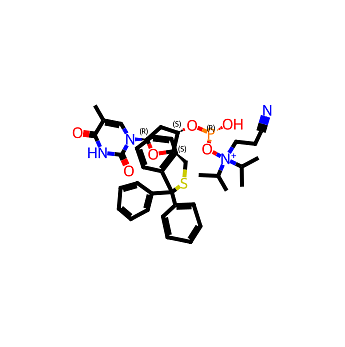 Cc1cn([C@H]2C[C@H](O[P@](O)O[N+](CCC#N)(C(C)C)C(C)C)[C@@H](CSC(c3ccccc3)(c3ccccc3)c3ccccc3)O2)c(=O)[nH]c1=O